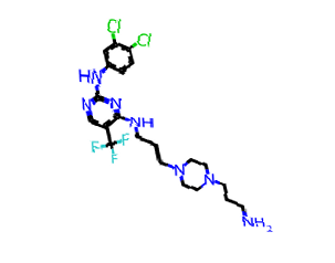 NCCCN1CCN(CCCNc2nc(Nc3ccc(Cl)c(Cl)c3)ncc2C(F)(F)F)CC1